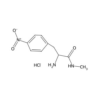 CNC(=O)C(N)Cc1ccc([N+](=O)[O-])cc1.Cl